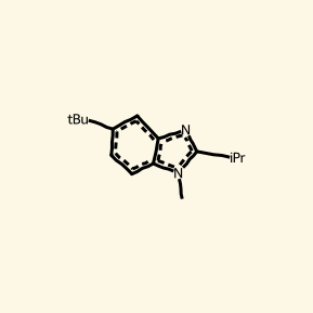 CC(C)c1nc2cc(C(C)(C)C)ccc2n1C